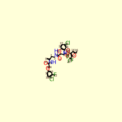 C=C(CCNC(=O)C1CN(S(=O)(=O)c2cc(C)oc2C(F)(F)F)c2cc(Cl)ccc2O1)NC(=O)COc1ccc(Cl)c(F)c1